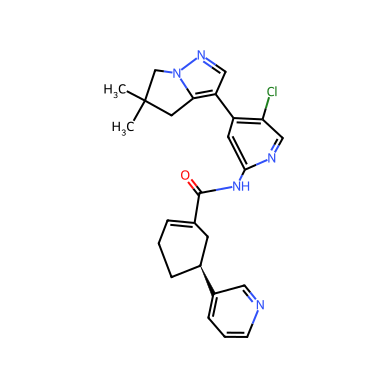 CC1(C)Cc2c(-c3cc(NC(=O)C4=CCC[C@H](c5cccnc5)C4)ncc3Cl)cnn2C1